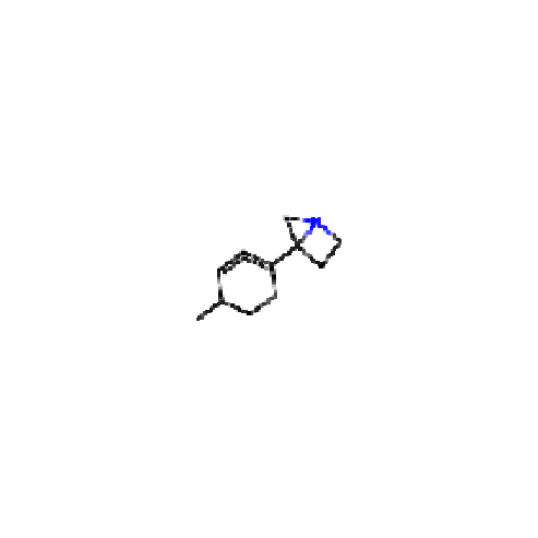 CC1C=C=C(C23CCN2C3)CC1